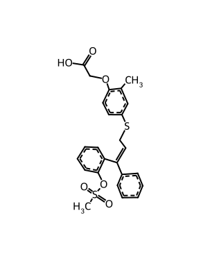 Cc1cc(SCC=C(c2ccccc2)c2ccccc2OS(C)(=O)=O)ccc1OCC(=O)O